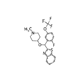 CN1CCC(OC(c2nc3ccccc3s2)c2cc(OC(F)(F)F)ccc2F)CC1